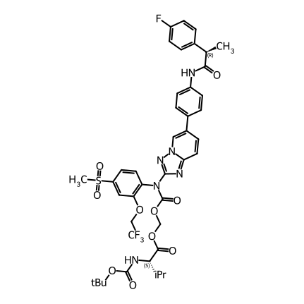 CC(C)[C@H](NC(=O)OC(C)(C)C)C(=O)OCOC(=O)N(c1nc2ccc(-c3ccc(NC(=O)[C@H](C)c4ccc(F)cc4)cc3)cn2n1)c1ccc(S(C)(=O)=O)cc1OCC(F)(F)F